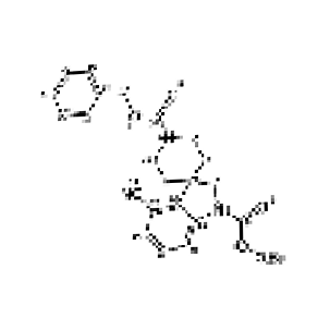 CC(C)(C)OC(=O)N1CC2(CCN(C(=O)OCc3ccccc3)CC2)c2c(C#N)cccc21